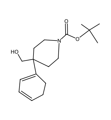 CC(C)(C)OC(=O)N1CCC(CO)(C2=CC=CCC2)CC1